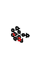 Cc1cccc(C)c1-c1ccc(N2c3ccc(-c4c(C)cccc4C)cc3B3c4cc(-c5ccccc5)ccc4N(c4c(-c5ccccc5)cccc4-c4ccccc4)c4cc(-c5c(C)cccc5C)cc2c43)cc1